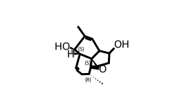 CC1=CC2C(O)CC[C@]23C(=O)[C@H](C)CC=C[C@@H]3[C@H]1O